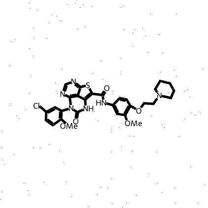 COc1cc(NC(=O)c2sc3ncnc4c3c2NC(=O)N4c2cc(Cl)ccc2OC)ccc1OCCN1CCCCC1